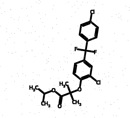 CC(C)OC(=O)C(C)(C)Oc1ccc(C(F)(F)c2ccc(Cl)cc2)cc1Cl